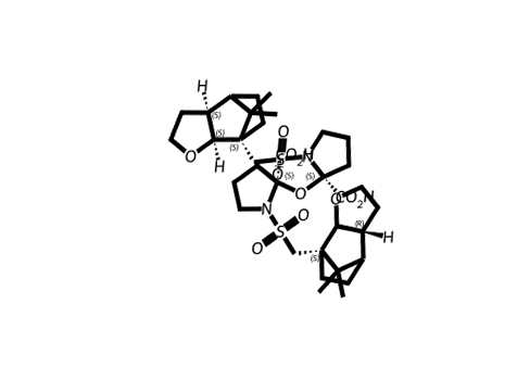 CC1(C)C2CC[C@@]1(CS(=O)(=O)N1CCC[C@]1(O[C@]1(C(=O)O)CCCN1S(=O)(=O)C[C@]13CCC([C@@H]4CCO[C@@H]41)C3(C)C)C(=O)O)C1OCC[C@H]21